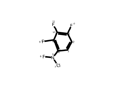 Fc1ccc(N(F)Cl)c(F)c1F